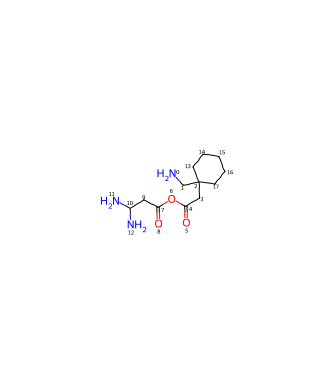 NCC1(CC(=O)OC(=O)CC(N)N)CCCCC1